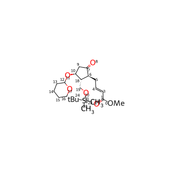 COC(=O)C=CC[C@@H]1C(=O)C[C@H](OC2CCCCO2)[C@H]1CO[Si](C)(C)C(C)(C)C